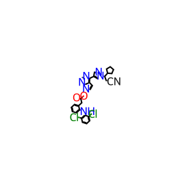 N#CCC(C1CCCC1)n1cc(-c2ncnc3c2ccn3COC(=O)Cc2ccccc2Nc2c(Cl)cccc2Cl)cn1